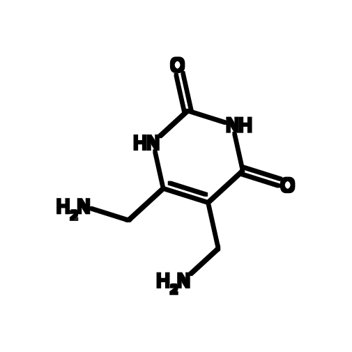 NCc1[nH]c(=O)[nH]c(=O)c1CN